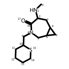 CNC1CC2CC2CN(CC2CCCCS2)C1=O